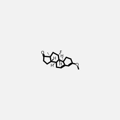 COC1=CC2=CC[C@@H]3[C@H]([C@@H](F)C[C@]4(C)C(=O)CC[C@@H]34)[C@H]2CC1